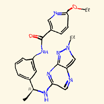 CCOc1ccc(C(=O)Nc2cccc([C@H](C)Nc3cnc4cn(CC)nc4n3)c2)cn1